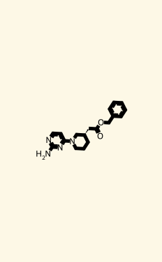 Nc1nccc(N2CCC[C@@H](CC(=O)OCc3ccccc3)C2)n1